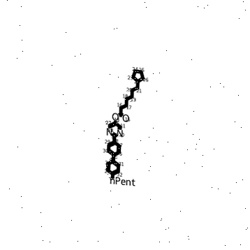 CCCCCc1ccc(-c2ccc(-c3ncc(OC(=O)CCCCCCC4CCCC4)cn3)cc2)cc1